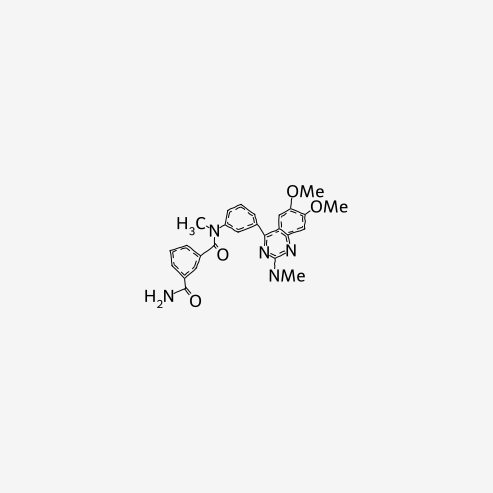 CNc1nc(-c2cccc(N(C)C(=O)c3cccc(C(N)=O)c3)c2)c2cc(OC)c(OC)cc2n1